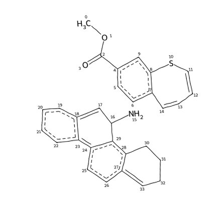 COC(=O)c1ccc2c(c1)SC=CC=C2.NC1C=c2ccccc2=c2ccc3c(c21)CCCC=3